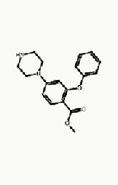 COC(=O)c1ccc(N2CCNCC2)cc1Oc1ccccc1